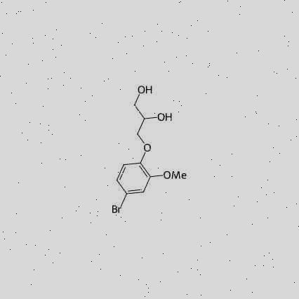 COc1cc(Br)ccc1OCC(O)CO